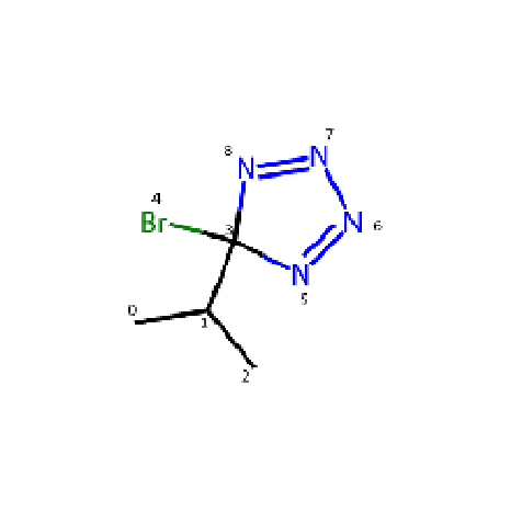 CC(C)C1(Br)N=NN=N1